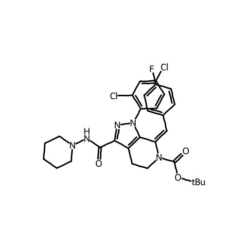 CC(C)(C)OC(=O)N1CCc2c(C(=O)NN3CCCCC3)nn(-c3ccc(Cl)cc3Cl)c2/C1=C\c1ccc(F)cc1